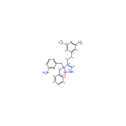 Nc1cccc(C[N+]2(Cc3ccccc3)C(=O)NN=C2CCc2cc(C(F)(F)F)cc(C(F)(F)F)c2)c1